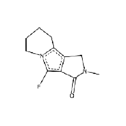 CN1Cc2c(c(F)n3c2CCCC3)C1=O